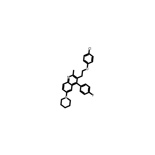 Cc1nc2ccc(N3CCCCC3)cc2c(-c2ccc(F)cc2)c1CCOc1ccc(Cl)cc1